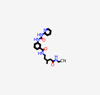 CC(CCNC(=O)c1cccc(NC(=O)Nc2ccccn2)c1)CC(=O)NCC#N